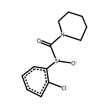 O=C(N1CCCCC1)[S+]([O-])c1ccccc1Cl